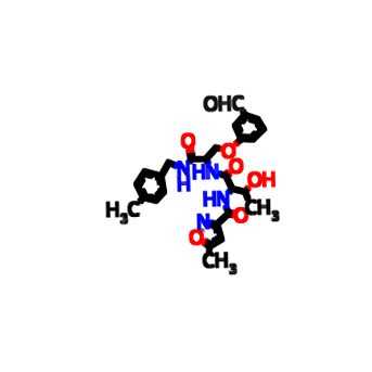 Cc1ccc(CNC(=O)C(COc2cccc(C=O)c2)NC(=O)C(NC(=O)c2cc(C)on2)C(C)O)cc1